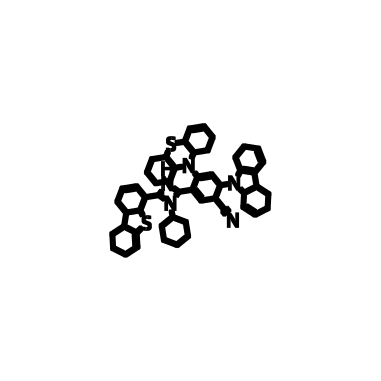 N#CC1C=C(C2NC(C3C=CCC4C5CCCC=C5SC34)N2C2CCCCC2)C(N2C3CCC=CC3SC3CCCCC32)=CC1N1C2=C(C=CCC2)C2CCC=CC21